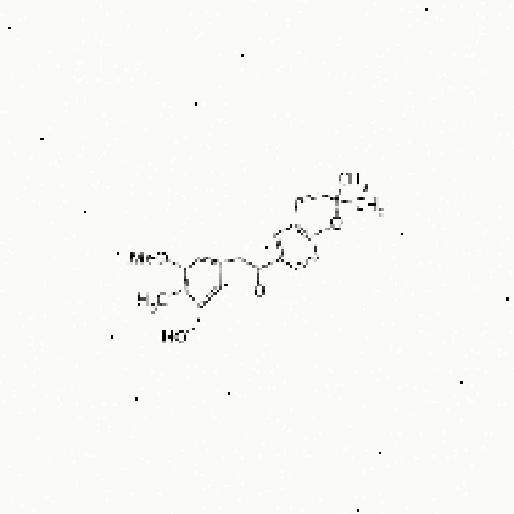 COc1cc(CC(=O)c2ccc3c(c2)C=CC(C)(C)O3)cc(CO)c1C